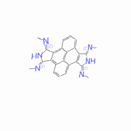 C/N=c1\[nH]/c(=N\C)c2c3cccc4c5/c(=N/C)[nH]/c(=N\C)c5c5cccc(c12)c5c34